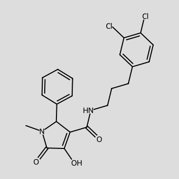 CN1C(=O)C(O)=C(C(=O)NCCCc2ccc(Cl)c(Cl)c2)C1c1ccccc1